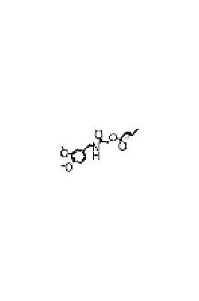 C/C=C/C(=O)OCC(=O)NCc1ccc(OC)c(OC)c1